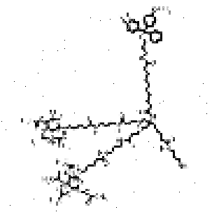 COc1ccc(C(OCCCNC(=O)CCCCCCCCC(=O)NC(COCCC(=O)NCCCN)(COCCC(=O)NCCCNC(=O)CCCCO[C@@H]2O[C@H](C)[C@H](OC(C)=O)[C@H](OC(C)=O)[C@H]2NC(C)=O)COCCC(=O)NCCCNC(=O)CCCCO[C@@H]2O[C@H](COC(C)=O)[C@H](OC(C)=O)[C@H](OC(C)=O)[C@H]2NC(C)=O)(c2ccccc2)c2ccc(OC)cc2)cc1